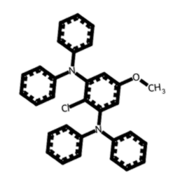 COc1cc(N(c2ccccc2)c2ccccc2)c(Cl)c(N(c2ccccc2)c2ccccc2)c1